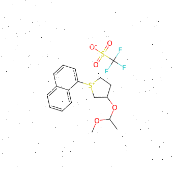 COC(C)OC1CC[S+](c2cccc3ccccc23)C1.O=S(=O)([O-])C(F)(F)F